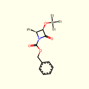 CC[Si](CC)(CC)O[C@H]1C(=O)N(C(=O)OCc2ccccc2)[C@H]1C(C)C